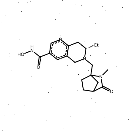 CC[C@H]1Cc2ncc(C(=O)NO)cc2CN1CC12CCC(C1)C(=O)N2C